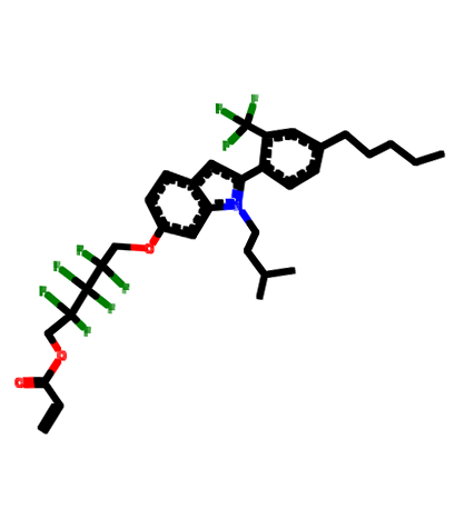 C=CC(=O)OCC(F)(F)C(F)(F)C(F)(F)COc1ccc2cc(-c3ccc(CCCCC)cc3C(F)(F)F)n(CCC(C)C)c2c1